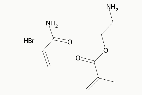 Br.C=C(C)C(=O)OCCN.C=CC(N)=O